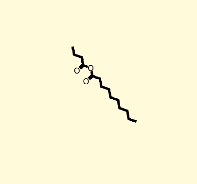 CCCCCCCCCC(=O)OC(=O)CCC